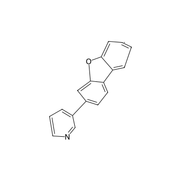 [c]1ccc2c(c1)oc1cc(-c3cccnc3)ccc12